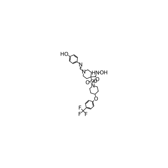 O=C(NO)C1(S(=O)(=O)N2CCC(Oc3ccc(C(F)(F)F)cc3)CC2)CCN(C=Nc2ccc(O)cc2)CC1